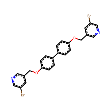 Brc1cncc(COc2ccc(-c3ccc(OCc4cncc(Br)c4)cc3)cc2)c1